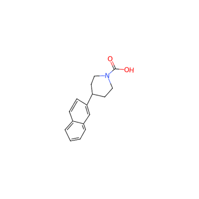 O=C(O)N1CCC(c2ccc3ccccc3c2)CC1